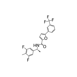 Cc1c(F)cc([C@H](C)NC(=O)c2ccc(-c3cccc(C(F)(F)F)c3)o2)cc1F